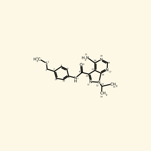 CSCc1ccc(NC(=O)c2nn(C(C)C)c3ncnc(N)c23)cc1